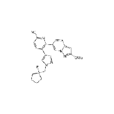 COc1cc2ccc(-c3nc(C#N)ccc3-c3cnn(CC4(F)CCCC4)c3)cn2n1